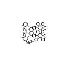 Cc1cccc(C)c1N=C1C(=Nc2c(C)cccc2C)c2cccc3cccc1c23.[Ni+2].[O-]c1c([O-])c(Cl)c2c(c1Cl)Oc1c(Cl)c(Cl)c(Cl)c(Cl)c1O2